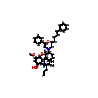 C=CCN1CC[C@]23c4c5c(O)cc(OC)c4O[C@H]2[C@H](N(CCCCCCc2ccccc2)CC(=O)c2ccccc2)CC[C@H]3[C@H]1C5